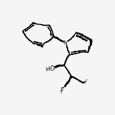 OC(c1cccn1-c1ccccc1)C(F)F